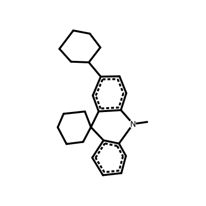 CN1c2ccccc2C2(CCCCC2)c2cc(C3CCCCC3)ccc21